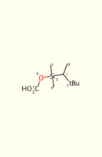 CC(C(C)(C)C)[Si](C)(C)OC(=O)O